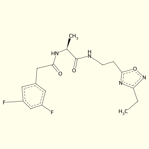 CCc1noc(CCNC(=O)[C@H](C)NC(=O)Cc2cc(F)cc(F)c2)n1